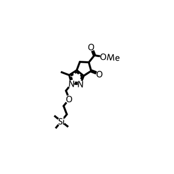 COC(=O)C1Cc2c(nn(COCC[Si](C)(C)C)c2C)C1=O